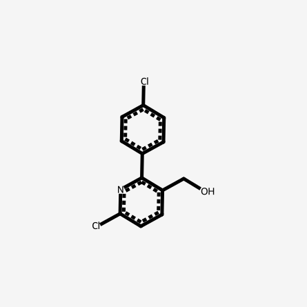 OCc1ccc(Cl)nc1-c1ccc(Cl)cc1